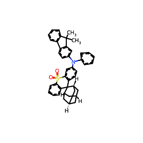 CC1(C)c2ccccc2-c2ccc(N(c3ccccc3)c3ccc4c(c3)S(=O)(=O)c3ccccc3C43[C@H]4C[C@H]5C[C@H](C[C@H]3C5)C4)cc21